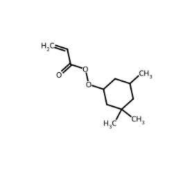 C=CC(=O)OOC1CC(C)CC(C)(C)C1